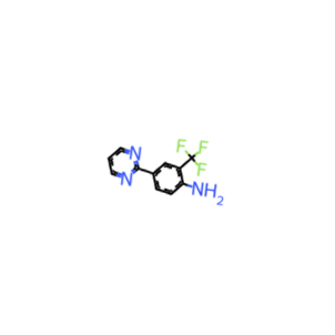 Nc1ccc(-c2ncccn2)cc1C(F)(F)F